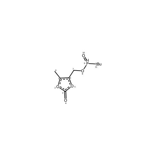 Cc1oc(=O)oc1CO[PH](=O)C(C)(C)C